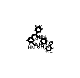 N=C(NO)c1cccc(CC(C(=O)Nc2ccc(N3CCCCC3=O)cc2)c2ccccc2)c1